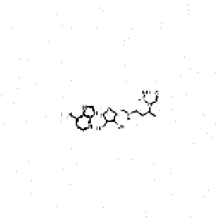 CC(CCNC[C@H]1O[C@@H](n2cnc3c(N)ncnc32)C(O)C1O)N(C=O)NN